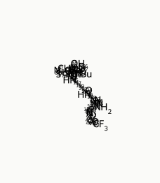 Cc1ncsc1-c1ccc([C@H](CC(=O)NCCCCCCCCC(=O)NCCCn2cc(-c3ccc4c(c3)CCN4C(=O)Cc3cccc(OC(F)(F)F)c3)c3c(N)ncnc32)NC(=O)[C@@H]2C[C@@H](O)CN2C(=O)[C@H](NC(=O)C2(F)CC2)C(C)(C)C)cc1